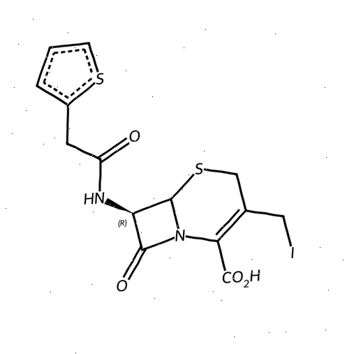 O=C(Cc1cccs1)N[C@@H]1C(=O)N2C(C(=O)O)=C(CI)CSC12